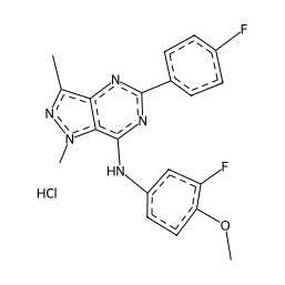 COc1ccc(Nc2nc(-c3ccc(F)cc3)nc3c(C)nn(C)c23)cc1F.Cl